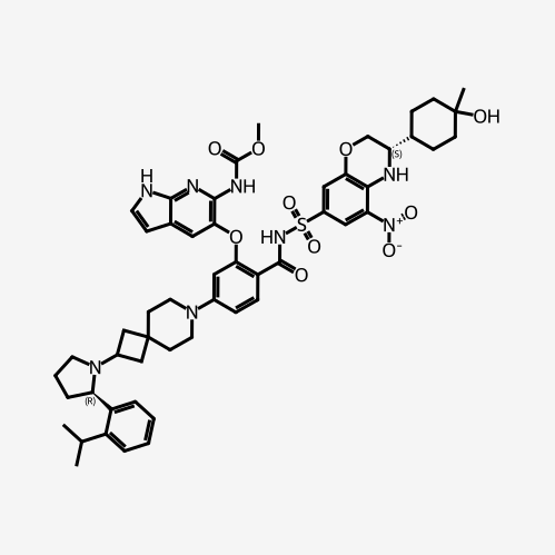 COC(=O)Nc1nc2[nH]ccc2cc1Oc1cc(N2CCC3(CC2)CC(N2CCC[C@@H]2c2ccccc2C(C)C)C3)ccc1C(=O)NS(=O)(=O)c1cc2c(c([N+](=O)[O-])c1)N[C@@H](C1CCC(C)(O)CC1)CO2